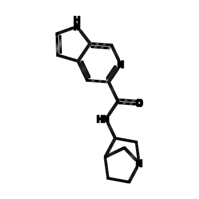 O=C(NC1CN2CCC1C2)c1cc2cc[nH]c2cn1